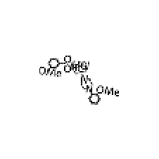 COc1ccccc1C(=O)OCCCN1CCN(c2ccccc2OC)CC1.Cl.Cl